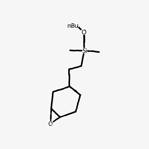 CCCCO[Si](C)(C)CCC1CCC2OC2C1